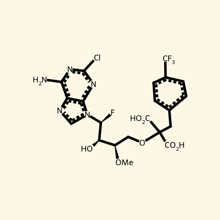 CO[C@H](COC(Cc1ccc(C(F)(F)F)cc1)(C(=O)O)C(=O)O)[C@@H](O)[C@H](F)n1cnc2c(N)nc(Cl)nc21